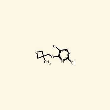 CC1(COc2nc(Cl)ncc2Br)COC1